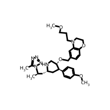 COCCCN1CCOc2ccc(CO[C@H]3CN[C@@H](C[C@@H](C)n4nnnc4C)C[C@@H]3c3ccc(OC)cc3)cc21